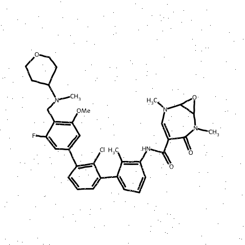 COc1cc(-c2cccc(-c3cccc(NC(=O)C4=CN(C)C5OC5N(C)C4=O)c3C)c2Cl)cc(F)c1CN(C)C1CCOCC1